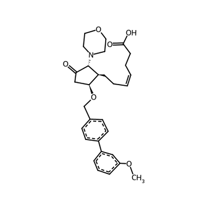 COc1cccc(-c2ccc(CO[C@H]3CC(=O)[C@H](N4CCOCC4)[C@H]3CC/C=C\CCC(=O)O)cc2)c1